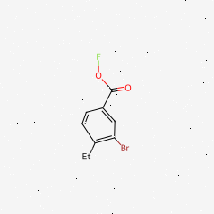 CCc1ccc(C(=O)OF)cc1Br